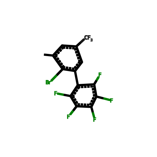 Cc1cc(C(F)(F)F)cc(-c2c(F)c(F)c(F)c(F)c2F)c1Br